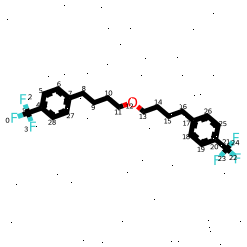 FC(F)(F)c1ccc(CCCCOCCCCc2ccc(C(F)(F)F)cc2)cc1